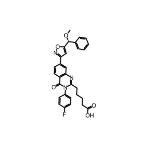 CO[C@@H](c1ccccc1)c1cc(-c2ccc3c(=O)n(-c4ccc(F)cc4)c(CCCCC(=O)O)nc3c2)no1